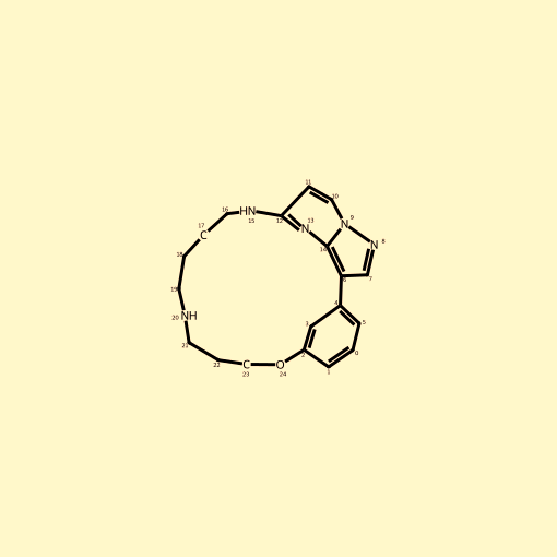 c1cc2cc(c1)-c1cnn3ccc(nc13)NCCCCNCCCO2